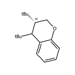 CC(C)(C)C1c2ccccc2OC[C@H]1C(C)(C)C